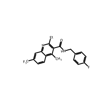 CCc1nc2cc(C(F)(F)F)ccc2c(C)c1C(=O)NCc1ccc(F)cc1